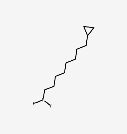 FP(F)CCCCCCCCC1CC1